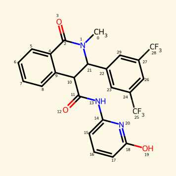 CN1C(=O)c2ccccc2C(C(=O)Nc2cccc(O)n2)C1c1cc(C(F)(F)F)cc(C(F)(F)F)c1